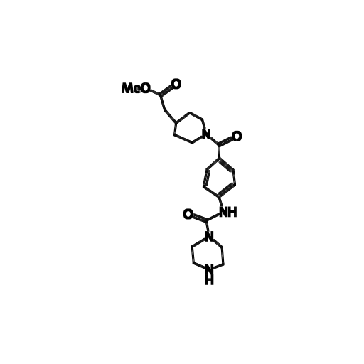 COC(=O)CC1CCN(C(=O)c2ccc(NC(=O)N3CCNCC3)cc2)CC1